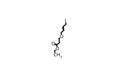 CCOC(=O)CCOCC=CCI